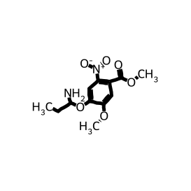 CCC(N)Oc1cc([N+](=O)[O-])c(C(=O)OC)cc1OC